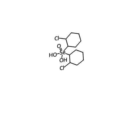 O=[Se](O)(O)(C1CCCCC1Cl)C1CCCCC1Cl